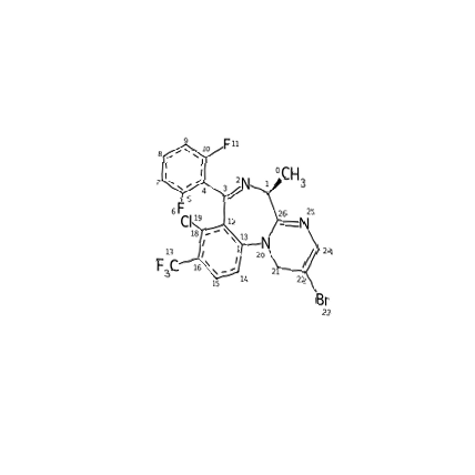 C[C@@H]1N=C(c2c(F)cccc2F)c2c(ccc(C(F)(F)F)c2Cl)N2CC(Br)=CN=C12